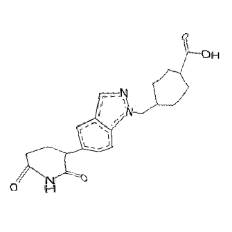 O=C1CCC(c2ccc3c(cnn3CC3CCC(C(=O)O)CC3)c2)C(=O)N1